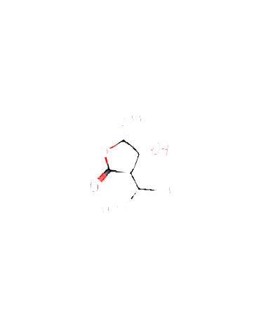 CCCC[C@H]1OC(=O)[C@H]([C@@H](C)C(=O)O)[C@H]1O